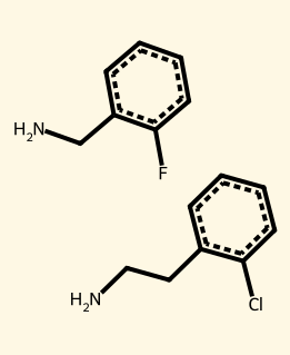 NCCc1ccccc1Cl.NCc1ccccc1F